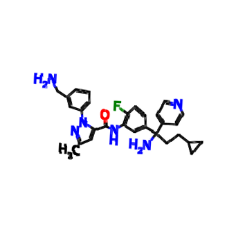 Cc1cc(C(=O)Nc2cc(C(N)(CCC3CC3)c3ccncc3)ccc2F)n(-c2cccc(CN)c2)n1